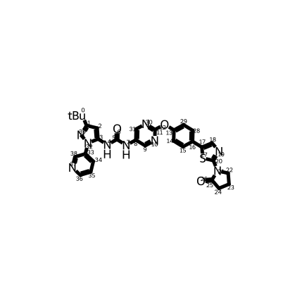 CC(C)(C)c1cc(NC(=O)Nc2cnc(Oc3ccc(-c4cnc(N5CCCC5=O)s4)cc3)nc2)n(-c2cccnc2)n1